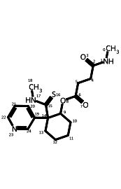 CNC(=O)CCC(=O)OC1CCCCC1(C(=S)NC)c1cccnc1